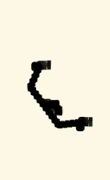 CC(CC(=O)OC(CCCCCCCC/C=C\CCCCCCCC(=O)O)CCCCCCCC/C=C\CCCCCCCC(=O)O)[C@@H](C)CN(C)C